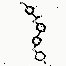 CN1CCC(Oc2ccc(-c3cccc(NC(=O)c4ccc(C(C)(C)C)cc4)c3)cc2)CC1